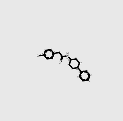 O=C(Cc1ccc(Cl)cc1)NC1CCC(c2ccccc2)CC1